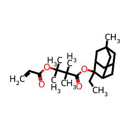 C=CC(=O)OC(C)(C)C(C)(C)C(=O)OC1(CC)C2CC3CC1CC(C)(C3)C2